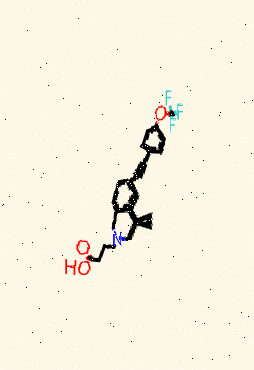 O=C(O)CCCN1Cc2ccc(C#Cc3ccc(OC(F)(F)F)cc3)cc2C2(CC2)C1